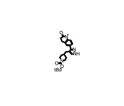 CN1C(=O)CCc2cc(-c3n[nH]cc3CC3CCN(C(=O)OC(C)(C)C)CC3)ccc21